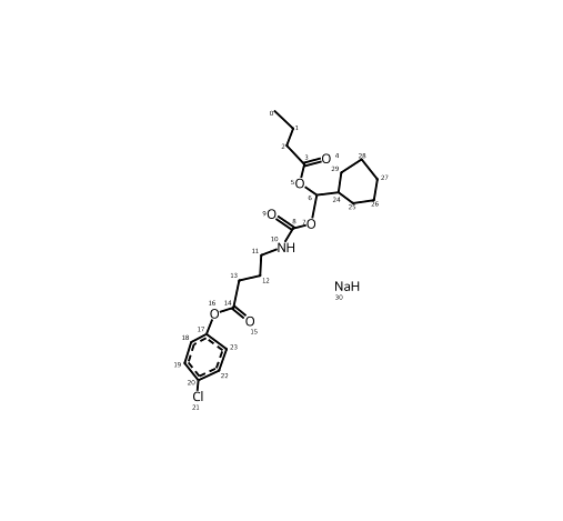 CCCC(=O)OC(OC(=O)NCCCC(=O)Oc1ccc(Cl)cc1)C1CCCCC1.[NaH]